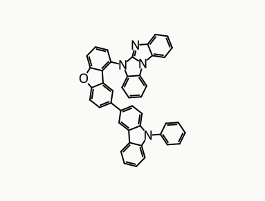 c1ccc(-n2c3ccccc3c3cc(-c4ccc5oc6cccc(-n7c8ccccc8n8c9ccccc9nc78)c6c5c4)ccc32)cc1